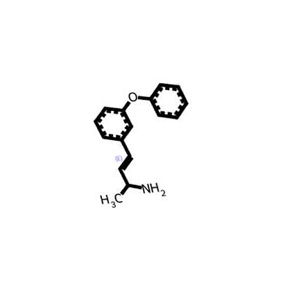 CC(N)/C=C/c1cccc(Oc2ccccc2)c1